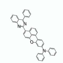 c1ccc(-c2nc(-c3ccc4c5c(cccc35)-c3ccc(N(c5ccccc5)c5ccccc5)cc3O4)nc3ccccc23)cc1